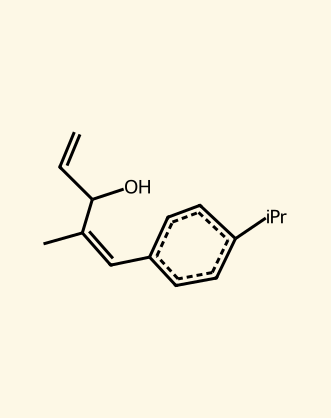 C=CC(O)C(C)=Cc1ccc(C(C)C)cc1